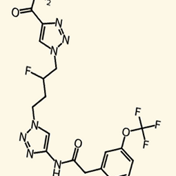 NC(=O)c1cn(CC(F)CCn2cc(NC(=O)Cc3cccc(OC(F)(F)F)c3)nn2)nn1